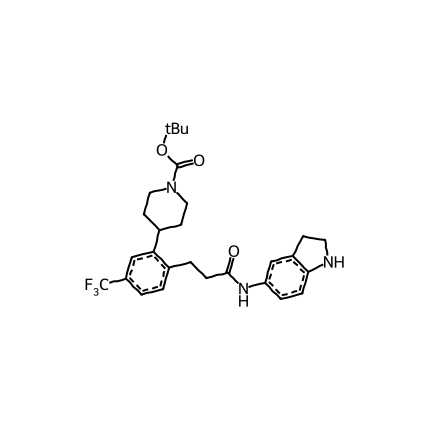 CC(C)(C)OC(=O)N1CCC(c2cc(C(F)(F)F)ccc2CCC(=O)Nc2ccc3c(c2)CCN3)CC1